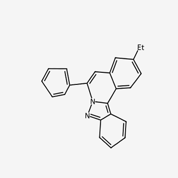 CCc1ccc2c(c1)cc(-c1ccccc1)n1nc3ccccc3c21